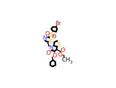 CCOC(=O)c1c(OCc2ccccc2)c(=O)n(Cc2cnc(S(=O)(=O)c3ccc(Br)cc3)s2)c2ccsc12